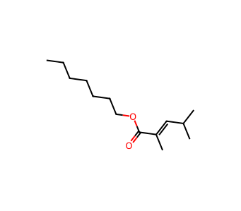 CCCCCCCOC(=O)C(C)=CC(C)C